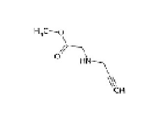 C#CCNCC(=O)OC